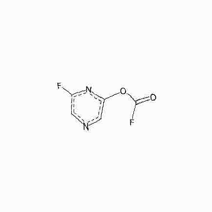 O=C(F)Oc1cncc(F)n1